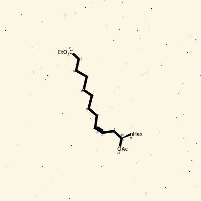 CCCCCC[C@H](C/C=C\CCCCCCCC(=O)OCC)OC(C)=O